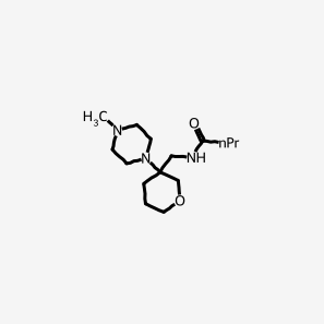 CCCC(=O)NCC1(N2CCN(C)CC2)CCCOC1